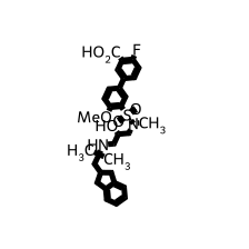 COc1ccc(-c2ccc(F)c(C(=O)O)c2)cc1S(=O)(=O)N(C)CC(O)CNC(C)(C)CC1Cc2ccccc2C1